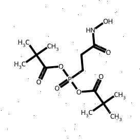 CC(C)(C)C(=O)OP(=O)(CCC(=O)NO)OC(=O)C(C)(C)C